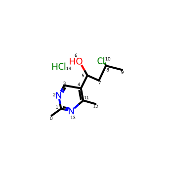 Cc1ncc(C(O)CC(C)Cl)c(C)n1.Cl